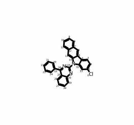 Clc1ccc2c3cc4ccccc4cc3n(-c3nc(-c4ccccc4)c4ccccc4n3)c2c1